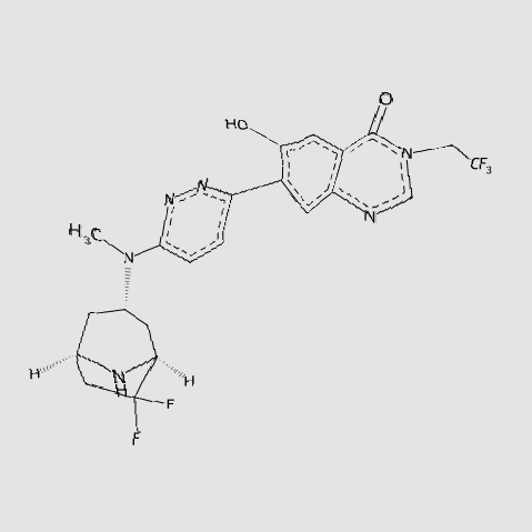 CN(c1ccc(-c2cc3ncn(CC(F)(F)F)c(=O)c3cc2O)nn1)[C@H]1C[C@@H]2CC(F)(F)[C@H](C1)N2